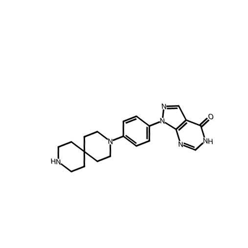 O=c1[nH]cnc2c1cnn2-c1ccc(N2CCC3(CCNCC3)CC2)cc1